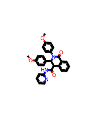 COc1ccc(C2C(C(=O)Nc3ccccn3)c3ccccc3C(=O)N2c2ccc(OC)cc2)cc1